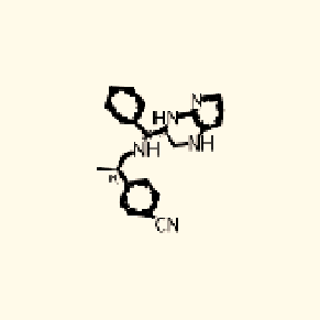 C[C@@H](CN[C@H](c1ccccc1)[C@@H]1CNc2cccnc2N1)c1ccc(C#N)cc1